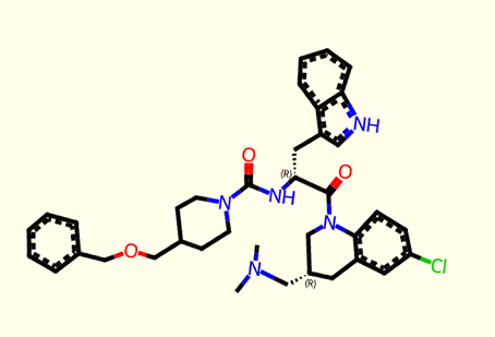 CN(C)C[C@H]1Cc2cc(Cl)ccc2N(C(=O)[C@@H](Cc2c[nH]c3ccccc23)NC(=O)N2CCC(COCc3ccccc3)CC2)C1